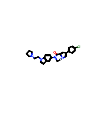 O=C1c2cc(-c3ccc(Cl)cc3)cn2CCN1c1ccc2c(ccn2CCN2CCCC2)c1